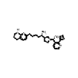 O=C(O)[C@H](c1cccnc1C1CCC1)N1CCC([C@@H](P)CCCCc2ccc3c(n2)NCCC3)C1